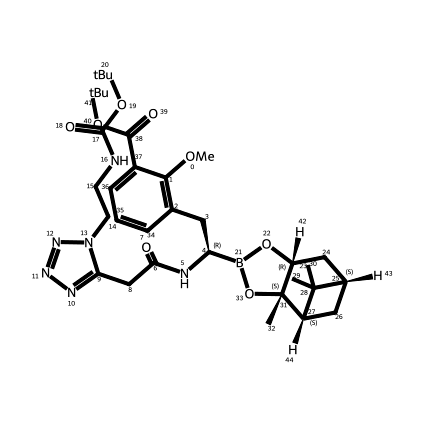 COc1c(C[C@H](NC(=O)Cc2nnnn2CCNC(=O)OC(C)(C)C)B2O[C@@H]3C[C@@H]4C[C@@H](C4(C)C)[C@]3(C)O2)cccc1C(=O)OC(C)(C)C